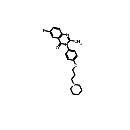 Cc1nc2ccc(F)cc2c(=O)n1-c1ccc(OCCCN2CCCCC2)cc1